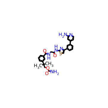 CC(C)(COC(N)=O)c1cccc(C(=O)NCC(=O)Nc2nc(-c3cccc(-c4ccnc(N)c4)c3)cs2)c1